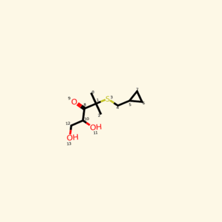 CC(C)(SCC1CC1)C(=O)C(O)CO